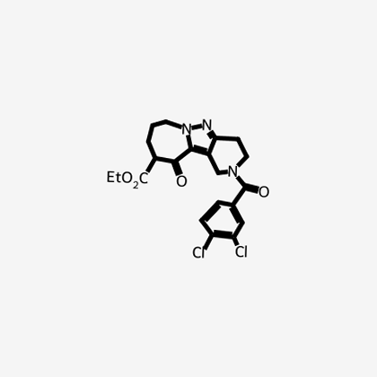 CCOC(=O)C1CCCn2nc3c(c2C1=O)CN(C(=O)c1ccc(Cl)c(Cl)c1)CC3